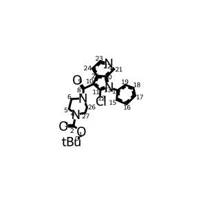 CC(C)(C)OC(=O)N1CCN(C(=O)c2c(Cl)n(-c3ccccc3)c3cnccc23)CC1